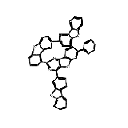 c1ccc(-c2ccc3c(c2)oc2c(-c4ccc5c(c4)oc4ccccc45)nc(-c4cccc5oc6ccc(-c7ccc8oc9ccccc9c8c7)cc6c45)nc23)cc1